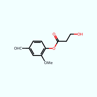 COc1cc(C=O)ccc1OC(=O)CCO